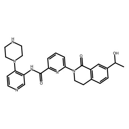 CC(O)c1ccc2c(c1)C(=O)N(c1cccc(C(=O)Nc3cnccc3N3CCNCC3)n1)CC2